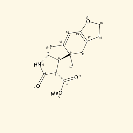 COC(=O)[C@@H]1C(=O)NC[C@H]1C1(C)CC2=C(C=C1F)OCC2